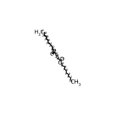 CCCCCCCCCCCOC(=O)CSSCC(=O)OCCCCCCCCCCC